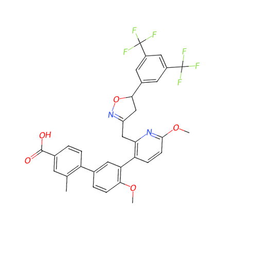 COc1ccc(-c2cc(-c3ccc(C(=O)O)cc3C)ccc2OC)c(CC2=NOC(c3cc(C(F)(F)F)cc(C(F)(F)F)c3)C2)n1